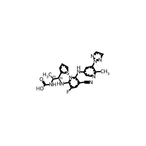 Cc1ncc(Nc2nc(N[C@H](c3cccs3)[C@H](C)NC(=O)O)c(F)cc2C#N)cc1-n1nccn1